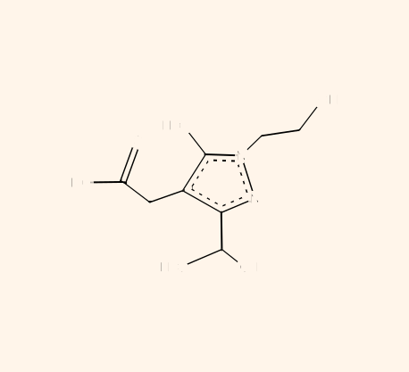 Cc1c(CC(=O)O)c(C(C)C)nn1CCO